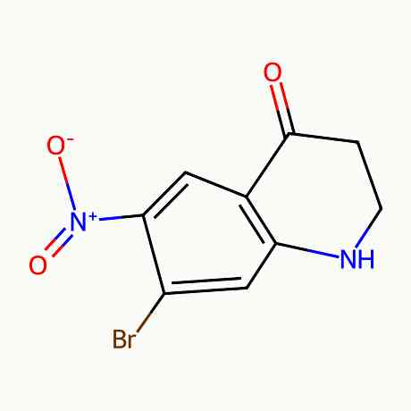 O=C1CCNc2cc(Br)c([N+](=O)[O-])cc21